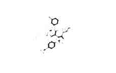 Cc1c(-c2c(CCC=O)cnn2-c2ccc(C#N)cc2)c(=O)n(C)c(=O)n1-c1cccc(CF)c1